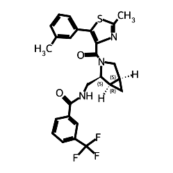 Cc1cccc(-c2sc(C)nc2C(=O)N2C[C@H]3C[C@H]3[C@H]2CNC(=O)c2cccc(C(F)(F)F)c2)c1